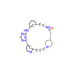 O=C1CC2CCN(CCCc3cc(ccn3)-c3ncnc(n3)Nc3cccc(c3)CCN1)CC2